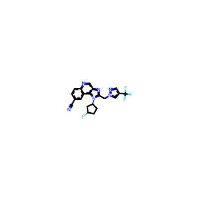 N#Cc1ccc2ncc3nc(Cn4cc(C(F)(F)F)cn4)n([C@H]4CC[C@@H](F)C4)c3c2c1